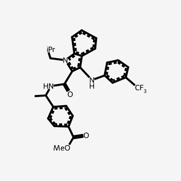 COC(=O)c1ccc(C(C)NC(=O)c2c(Nc3cccc(C(F)(F)F)c3)c3ccccc3n2CC(C)C)cc1